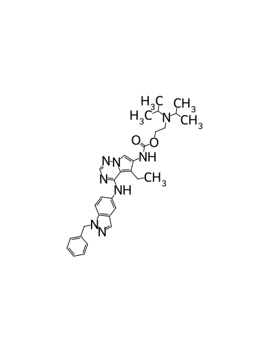 CCc1c(NC(=O)OCCN(C(C)C)C(C)C)cn2ncnc(Nc3ccc4c(cnn4Cc4ccccc4)c3)c12